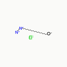 Cc1ccc(CCCCCCCCCCCCCCCCCC[N+](C)(C)CCC[N+](C)(C)C)cc1.[Cl-].[Cl-]